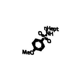 CCCCCCCNS(=O)(=O)c1ccc(OC)cc1